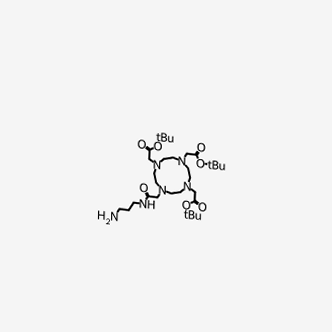 CC(C)(C)OC(=O)CN1CCN(CC(=O)NCCCN)CCN(CC(=O)OC(C)(C)C)CCN(CC(=O)OC(C)(C)C)CC1